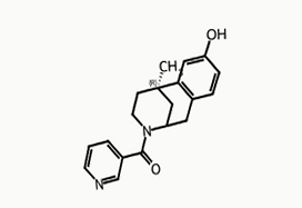 C[C@]12CCN(C(=O)c3cccnc3)C(Cc3ccc(O)cc31)C2